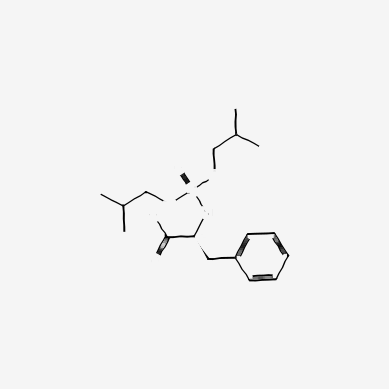 CC(C)COP(=O)(N[C@@H](Cc1ccccc1)C(=O)O)OCC(C)C